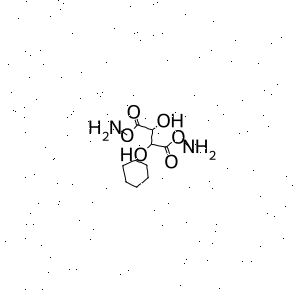 C1CCCCC1.NOC(=O)C(O)C(O)C(=O)ON